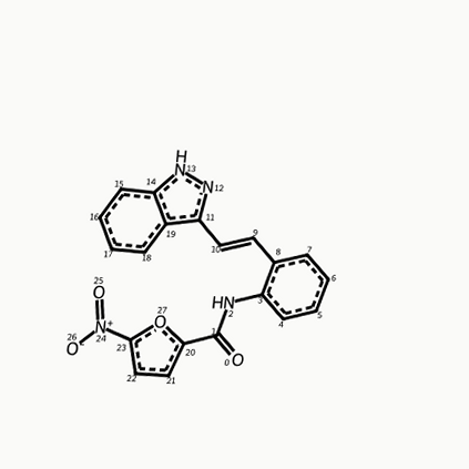 O=C(Nc1ccccc1/C=C/c1n[nH]c2ccccc12)c1ccc([N+](=O)[O-])o1